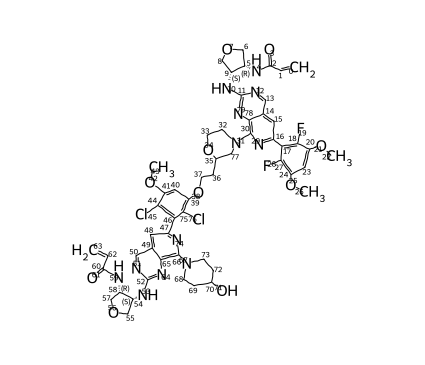 C=CC(=O)N[C@H]1COC[C@H]1Nc1ncc2cc(-c3c(F)c(OC)cc(OC)c3F)nc(N3CCOC(CCOc4cc(OC)c(Cl)c(-c5cc6cnc(N[C@@H]7COC[C@@H]7NC(=O)C=C)nc6c(N6CCC(O)CC6)n5)c4Cl)C3)c2n1